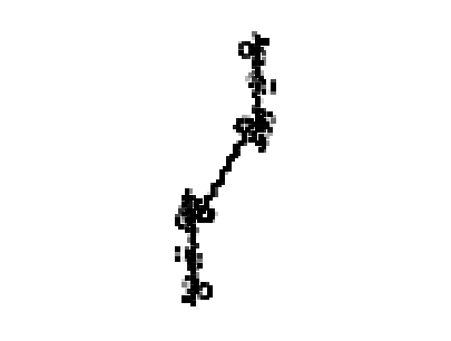 C=C(C)C(=O)OCCOC(=O)CCCSC1(P(C)(=O)OCC)SC2(CCCCCCCCCCC34C=CC(C3)C(SCCCC(=O)OCCOC(=O)C(=C)C)(P(C)(=O)OCC)S4)C=CC1C2